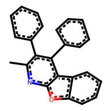 Cc1nc2oc3ccccc3c2c(-c2ccccc2)c1-c1ccccc1